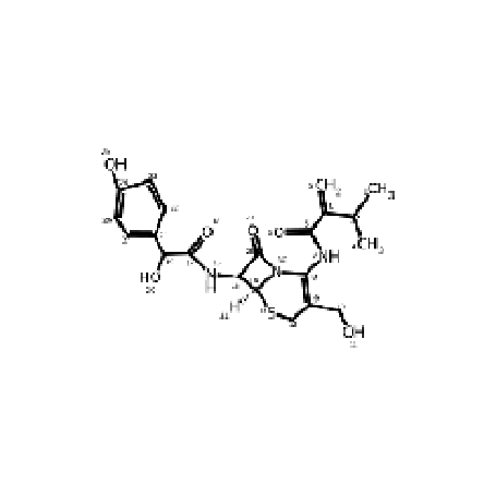 C=C([C](C)C)C(=O)NC1=C(CO)CS[C@H]2[C@@H](NC(=O)C(O)c3ccc(O)cc3)C(=O)N12